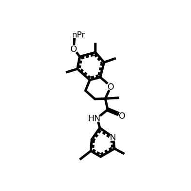 CCCOc1c(C)c(C)c2c(c1C)CCC(C)(C(=O)Nc1cc(C)cc(C)n1)O2